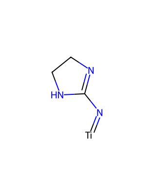 [Ti]=[N]C1=NCCN1